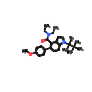 CCN(CC)C(=O)c1c(-c2ccc(OC)cc2)ccc2c1ccn2[Si](C)(C)C(C)(C)C